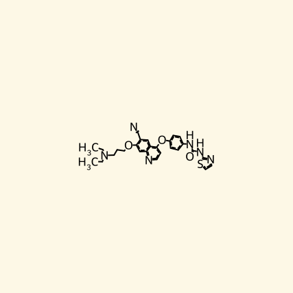 CCN(CC)CCCOc1cc2nccc(Oc3ccc(NC(=O)Nc4nccs4)cc3)c2cc1C#N